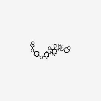 O=c1c(Cl)c(NC[C@@]2(F)CCCOC2)cnn1-c1ccc(Oc2ccc(OC3COC3)cc2)nc1